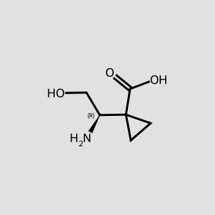 N[C@@H](CO)C1(C(=O)O)CC1